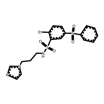 CCc1ccc(S(=O)(=O)c2ccccc2)cc1S(=O)(=O)NCCCn1ccnc1